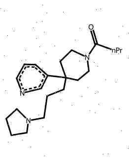 CCCC(=O)N1CCC(CCCN2CCCC2)(c2cccnc2)CC1